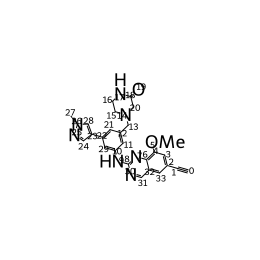 C#Cc1cc(OC)c2nc(Nc3cc(CN4CCNC(=O)C4)cc(-c4cnn(C)c4)c3)ncc2c1